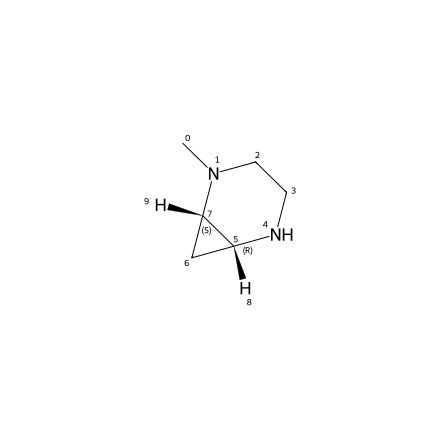 CN1CCN[C@@H]2C[C@@H]21